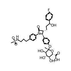 C[C@@]1(Oc2ccc([C@@H]3[C@@H](CC[C@H](O)c4ccc(F)cc4)C(=O)N3c3ccc(CCCNS(C)(=O)=O)cc3)cc2)O[C@H](C(=O)O)[C@@H](O)[C@H](O)[C@H]1O